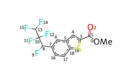 COC(=O)c1cc2cc(C(F)C(F)(F)C(F)F)ccc2s1